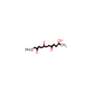 COCC(=O)CCC(=O)CCC(=O)CCC(C)O